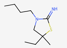 CCCCN1CC(C)(CC)SC1=N